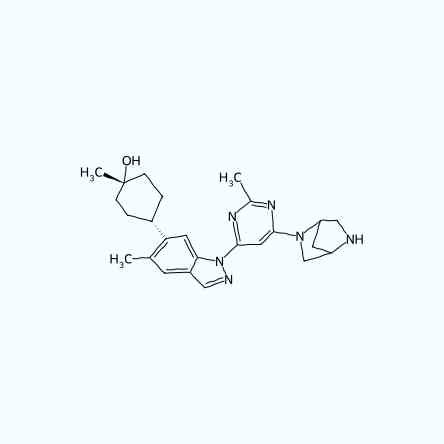 Cc1nc(N2CC3CC2CN3)cc(-n2ncc3cc(C)c([C@H]4CC[C@@](C)(O)CC4)cc32)n1